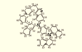 c1ccc(-c2cc(N(c3ccc4sc5ccc6ccccc6c5c4c3)c3ccc4c(c3)c3ccc5ccccc5c3n4-c3cccc4ccccc34)cc3ccccc23)cc1